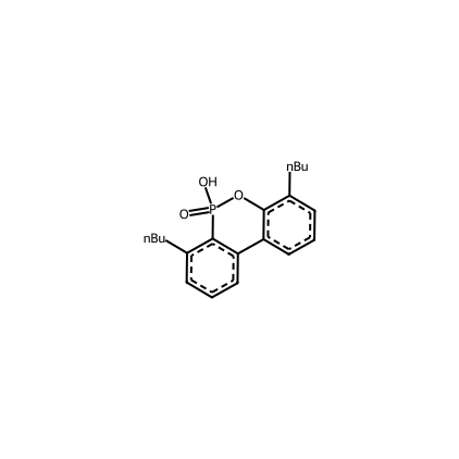 CCCCc1cccc2c1OP(=O)(O)c1c(CCCC)cccc1-2